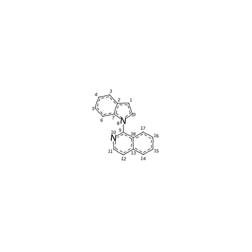 [c]1cc2ccccc2n1-c1nccc2ccccc12